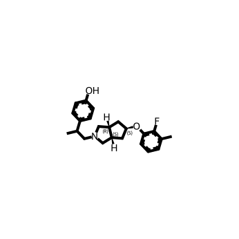 Cc1cccc(O[C@H]2C[C@@H]3CN(CC(C)c4ccc(O)cc4)C[C@@H]3C2)c1F